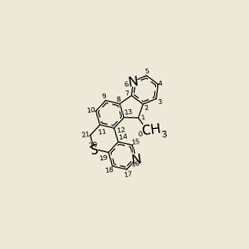 CC1c2cccnc2-c2ccc3c(c21)-c1cnccc1SC3